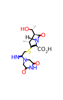 C[C@@H](O)[C@H]1C(=O)N2C(C(=O)O)=C(SCC(=N)N3CC(=O)NC(=O)C3)[C@H](C)[C@H]12